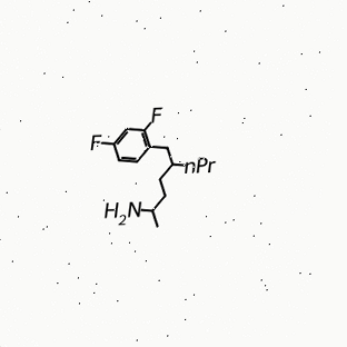 CCCC(CCC(C)N)Cc1ccc(F)cc1F